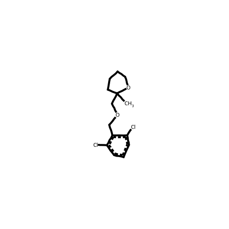 CC1(COCc2c(Cl)cccc2Cl)CCCCO1